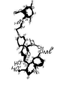 COc1ccc2ncc(CO)c([C@H](O)CCC3(C(=O)NO)CCN(CCNc4c(F)cc(F)cc4F)CC3)c2c1